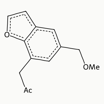 COCc1cc(CC(C)=O)c2occc2c1